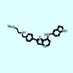 COCCNCc1ccc(-c2cc3nccc(Nc4ccc5[nH]ccc5c4)c3s2)cc1